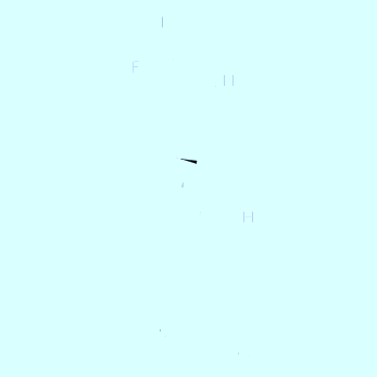 CC1CC2=C(Cl)C(=O)C=C[C@]2(C)[C@@H]2CC[C@@]3(C)[C@@H](CCC3(O)C(F)(F)F)[C@H]12